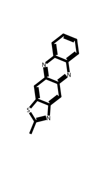 Cc1nc2cc3nc4ccccc4nc3cc2s1